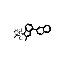 CC1=Cc2c(-c3ccc4ccccc4c3)cccc2[CH]1[Zr]([Cl])([Cl])[SiH](C)C